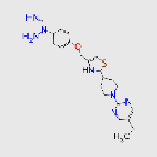 CCc1cnc(N2CCC(C3NC(COc4ccc(N(N)C=N)cc4)=CS3)CC2)nc1